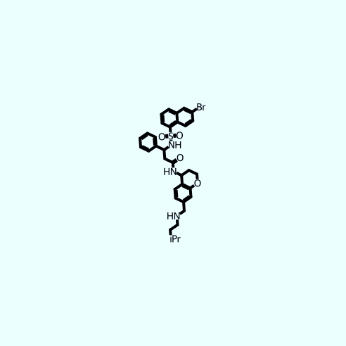 CC(C)CCNCc1ccc2c(c1)OCCC2NC(=O)CC(NS(=O)(=O)c1cccc2cc(Br)ccc12)c1ccccc1